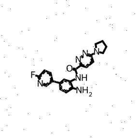 Nc1ccc(-c2ccc(F)nc2)cc1NC(=O)c1ccc(N2CCCC2)nn1